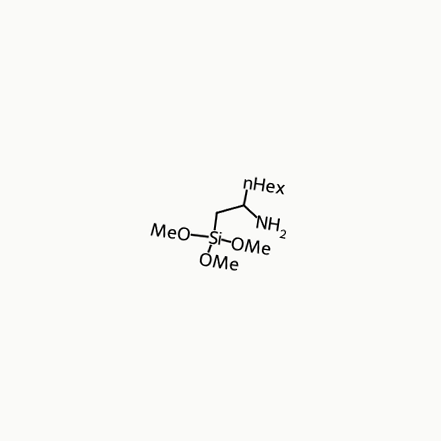 CCCCCCC(N)C[Si](OC)(OC)OC